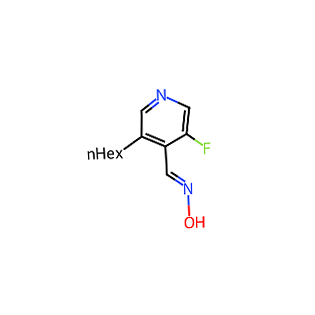 CCCCCCc1cncc(F)c1/C=N/O